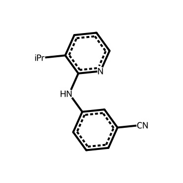 CC(C)c1cccnc1Nc1cccc(C#N)c1